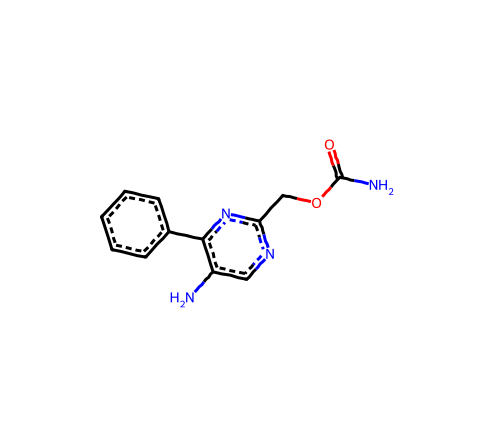 NC(=O)OCc1ncc(N)c(-c2ccccc2)n1